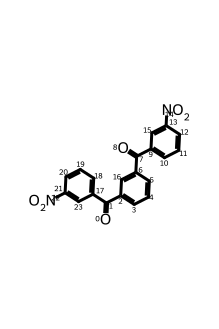 O=C(c1cccc(C(=O)c2cccc([N+](=O)[O-])c2)c1)c1cccc([N+](=O)[O-])c1